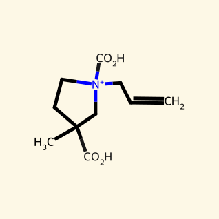 C=CC[N+]1(C(=O)O)CCC(C)(C(=O)O)C1